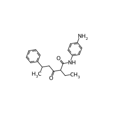 CCC(C(=O)CC(C)c1ccccc1)C(=O)Nc1ccc(N)cc1